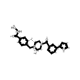 C[C@@H]1CN(C(=O)c2cccc(-c3ccco3)c2)C[C@H](C)N1Cc1ccc(C(=O)NO)cc1